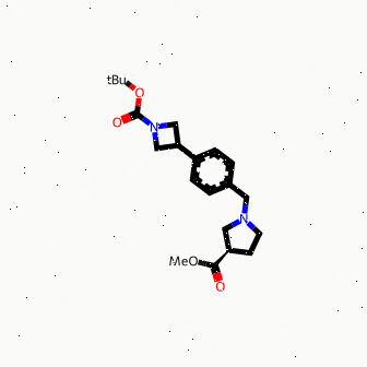 COC(=O)[C@@H]1CCN(Cc2ccc(C3CN(C(=O)OC(C)(C)C)C3)cc2)C1